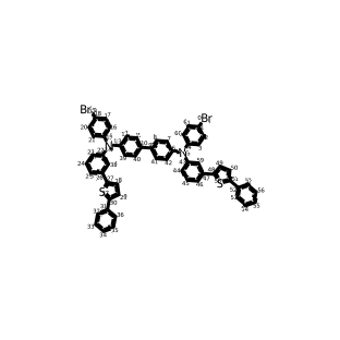 Brc1ccc(N(c2ccc(-c3ccc(N(c4ccc(Br)cc4)c4cccc(-c5ccc(-c6ccccc6)s5)c4)cc3)cc2)c2cccc(-c3ccc(-c4ccccc4)s3)c2)cc1